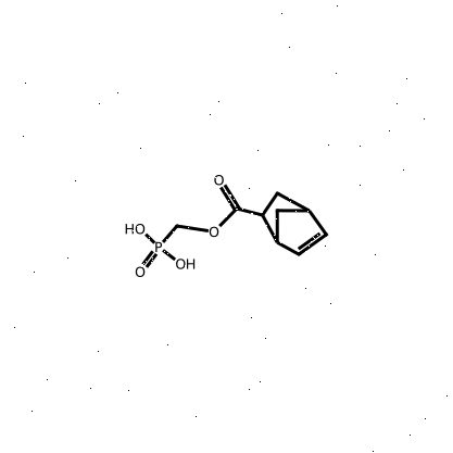 O=C(OCP(=O)(O)O)C1CC2C=CC1C2